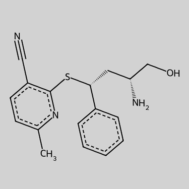 Cc1ccc(C#N)c(S[C@H](C[C@@H](N)CO)c2ccccc2)n1